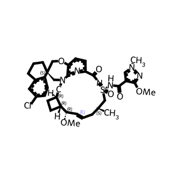 COc1nn(C)cc1C(=O)N[S@@]1(=O)=NC(=O)c2ccc3c(n2)N(C[C@@H]2CC[C@H]2[C@@H](OC)/C=C/C[C@H](C)C1)C[C@@]1(CCCc2cc(Cl)ccc21)CO3